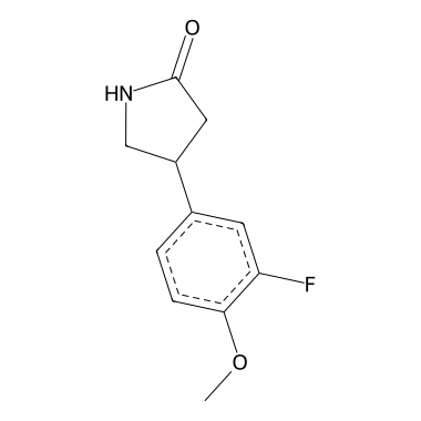 COc1ccc(C2CNC(=O)C2)cc1F